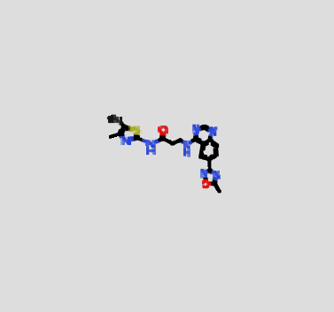 Cc1nc(-c2ccc3ncnc(NCCC(=O)Nc4nc(C)c(C(C)(C)C)s4)c3c2)no1